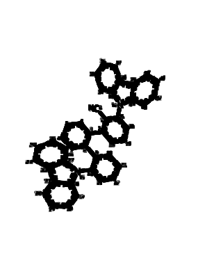 N#Cc1c(-c2ccccc2-c2ccccc2-n2c3ccccc3c3ccccc32)cccc1-n1c2ccccc2c2ccccc21